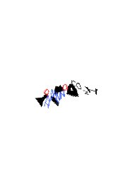 O=C(O)c1ccccc1Oc1ccc2nc(NC(=O)C3CC3)cn2n1